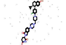 O=C1CCC(N2Cc3cc(N4CCN(CC5CCN(c6ccc([C@@H]7c8ccc(O)cc8CC[C@@H]7C7CC7)cc6F)CC5)CC4)ccc3C2=O)C(=O)N1